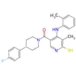 Cc1ccccc1Nc1c(C(=O)N2CCC(c3ccc(F)cc3)CC2)cnc(S)c1C